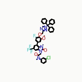 COc1cc(-c2cc(C(F)(F)F)cc3c2n(C)c(=O)n3CC(=O)N(C)c2cccc(Cl)c2)cc(F)c1OCc1ncn(C(c2ccccc2)(c2ccccc2)c2ccccc2)n1